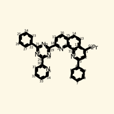 CC(C)c1cc(-c2ccccc2)nc2c1ccc1ccc(-c3nc(-c4ccccc4)nc(-c4ccccn4)n3)nc12